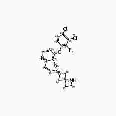 Fc1c(Oc2ncnc3ccc(N4CC5(CCN5)C4)nc23)ccc(Cl)c1Cl